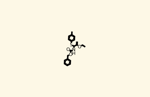 C=C(OCC)C(NC(=O)OCc1ccccc1)Sc1ccc(C)cc1